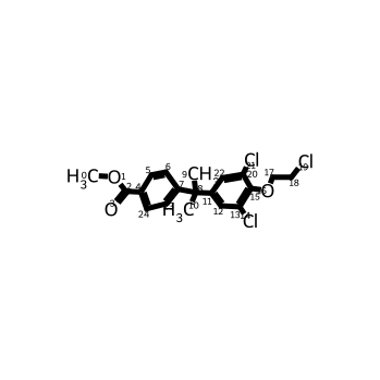 COC(=O)c1ccc(C(C)(C)c2cc(Cl)c(OCCCl)c(Cl)c2)cc1